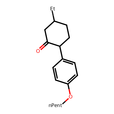 CCCCCOc1ccc(C2CCC(CC)CC2=O)cc1